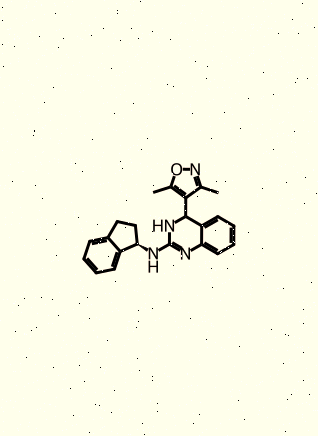 Cc1noc(C)c1C1NC(N[C@@H]2CCc3ccccc32)=Nc2ccccc21